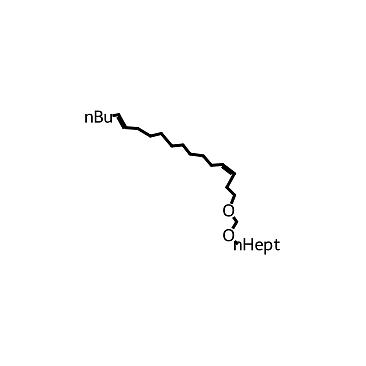 CCCC/C=C/CCCCCCCC/C=C\CCOCOCCCCCCC